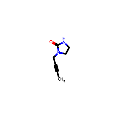 CC#CCN1CCNC1=O